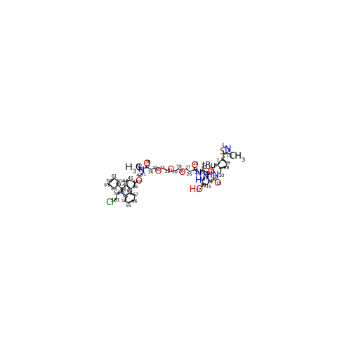 Cc1ncsc1-c1ccc(CNC(=O)[C@@H]2C[C@@H](O)CN2C(=O)[C@@H](NC(=O)CCOCCOCCOCCC(=O)N(C)CCOc2ccc(/C(=C(/CCCl)c3ccccc3)c3ccccc3)cc2)C(C)(C)C)cc1